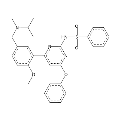 COc1ccc(CN(C)C(C)C)cc1-c1cc(Oc2ccccc2)nc(NS(=O)(=O)c2ccccc2)n1